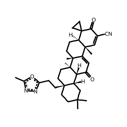 Cc1nnc(CC[C@]23CCC(C)(C)C[C@H]2[C@H]2C(=O)C=C4[C@@]5(C)C=C(C#N)C(=O)C6(CC6)[C@@H]5CC[C@@]4(C)[C@]2(C)CC3)o1